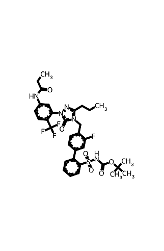 CCCc1nn(-c2cc(NC(=O)CC)ccc2C(F)(F)F)c(=O)n1Cc1ccc(-c2ccccc2S(=O)(=O)NC(=O)OC(C)(C)C)cc1F